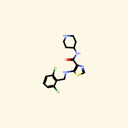 O=C(NC1CCNCC1)c1ncsc1NCc1c(Cl)cccc1Cl